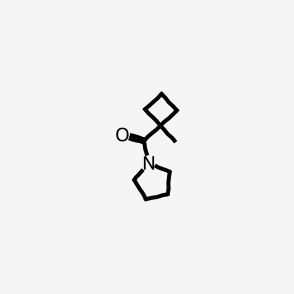 CC1(C(=O)N2CCCC2)CCC1